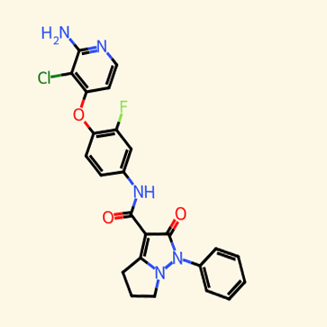 Nc1nccc(Oc2ccc(NC(=O)c3c4n(n(-c5ccccc5)c3=O)CCC4)cc2F)c1Cl